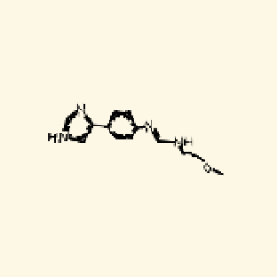 COCCNC=Nc1ccc(-c2c[nH]cn2)cc1